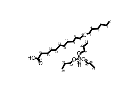 CCCCCCCCCCCCCCCCCC(=O)O.CCCO[Si]([Ti])(OCCC)OCCC